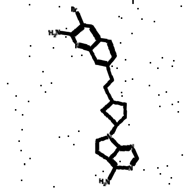 Nc1nc2cc(CCC3CCC(N4CCc5c(N)ncnc54)C3)ccc2cc1Br